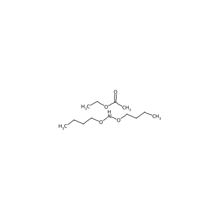 CCCC[O][AlH][O]CCCC.CCOC(C)=O